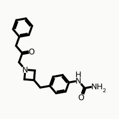 NC(=O)Nc1ccc(CC2CN(CC(=O)Cc3ccccc3)C2)cc1